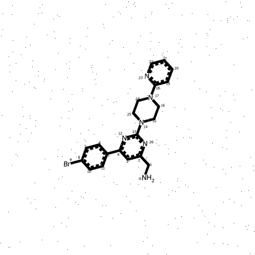 NCc1cc(-c2ccc(Br)cc2)nc(N2CCN(c3ccccn3)CC2)n1